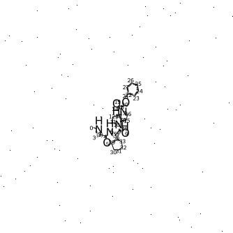 CN[C@@H](C)C(=O)N[C@H](C(=O)N1CC[C@@H]2[C@H]1CCN2C(=O)OCc1ccccc1)C1CCCCC1